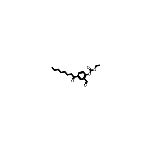 CCCCCCCC(=O)c1ccc(OC(=O)OCC)c(C=O)c1